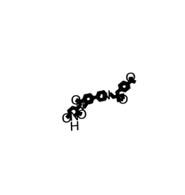 CC(=O)c1ccc(CC2(CCN3CC=C(c4ccc5c(c4)CN(C4CCC(=O)NC4=O)C5=O)CC3)COC2)cc1